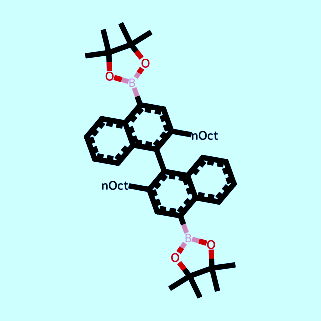 CCCCCCCCc1cc(B2OC(C)(C)C(C)(C)O2)c2ccccc2c1-c1c(CCCCCCCC)cc(B2OC(C)(C)C(C)(C)O2)c2ccccc12